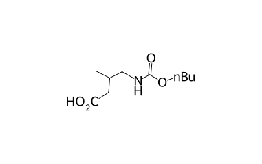 CCCCOC(=O)NCC(C)CC(=O)O